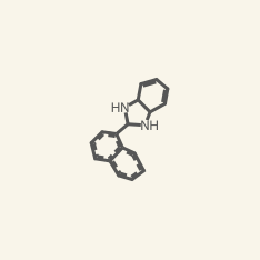 C1=CC2NC(c3cccc4ccccc34)NC2C=C1